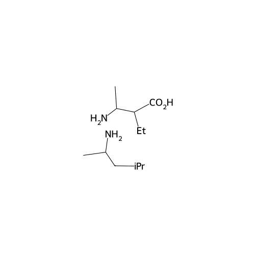 CC(C)CC(C)N.CCC(C(=O)O)C(C)N